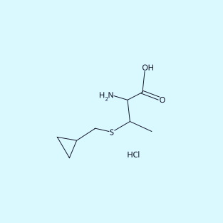 CC(SCC1CC1)C(N)C(=O)O.Cl